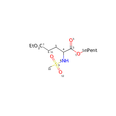 CCCCCOC(=O)C(CCC(=O)OCC)NS(C)(=O)=O